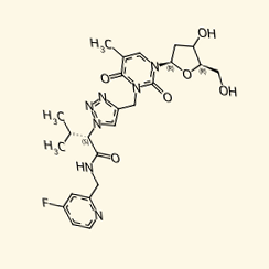 Cc1cn([C@H]2CC(O)[C@@H](CO)O2)c(=O)n(Cc2cn([C@H](C(=O)NCc3cc(F)ccn3)C(C)C)nn2)c1=O